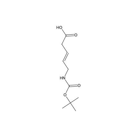 CC(C)(C)OC(=O)NC/C=C/CC(=O)O